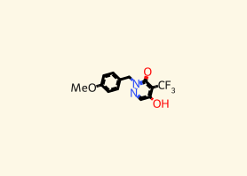 COc1ccc(Cn2ncc(O)c(C(F)(F)F)c2=O)cc1